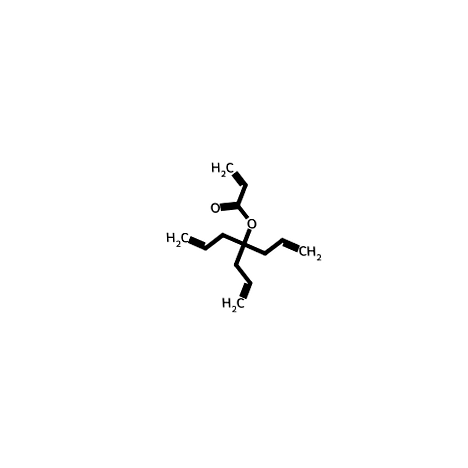 C=CCC(CC=C)(CC=C)OC(=O)C=C